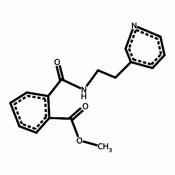 COC(=O)c1ccccc1C(=O)NCCc1cccnc1